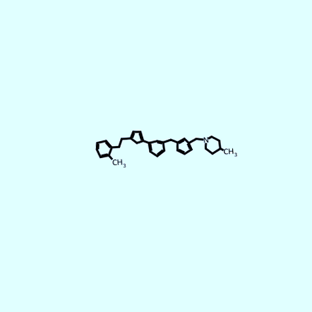 Cc1ccccc1CCC1=CC=C(c2cccc(Cc3cccc(CN4CCC(C)CC4)c3)c2)C1